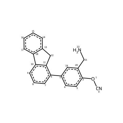 N#COc1ccc(-c2cccc3c2Cc2ccccc2-3)cc1CN